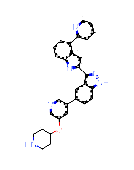 c1ccc(-c2cccc3[nH]c(-c4n[nH]c5ccc(-c6cncc(OC7CCNCC7)c6)cc45)cc23)nc1